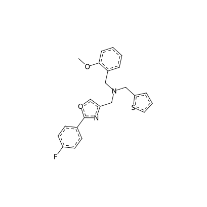 COc1ccccc1CN(Cc1coc(-c2ccc(F)cc2)n1)Cc1cccs1